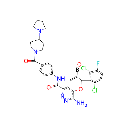 C=C(B=O)C(Oc1cc(C(=O)Nc2ccc(C(=O)N3CCC(N4CCCC4)CC3)cc2)nnc1N)c1c(Cl)ccc(F)c1Cl